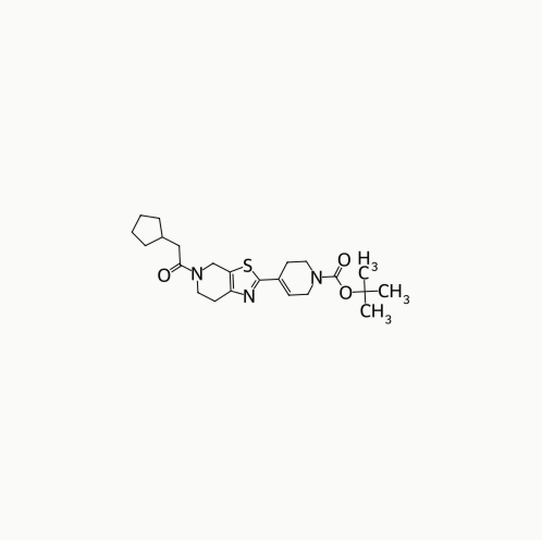 CC(C)(C)OC(=O)N1CC=C(c2nc3c(s2)CN(C(=O)CC2CCCC2)CC3)CC1